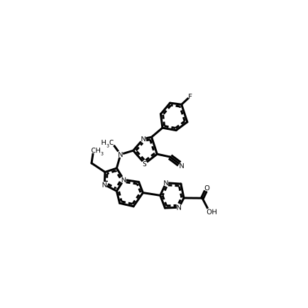 CCc1nc2ccc(-c3cnc(C(=O)O)cn3)cn2c1N(C)c1nc(-c2ccc(F)cc2)c(C#N)s1